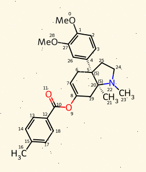 COc1ccc([C@@]23CC=C(OC(=O)c4ccc(C)cc4)C[C@]2(C)N(C)CC3)cc1OC